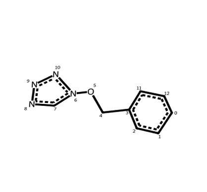 c1ccc(COn2cnnn2)cc1